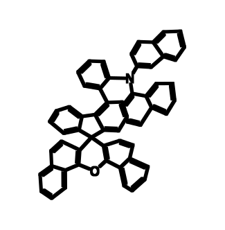 c1ccc(N(c2ccc3ccccc3c2)c2cccc3ccccc23)c(-c2cccc3c2-c2ccccc2C32c3ccc4ccccc4c3Oc3c2ccc2ccccc32)c1